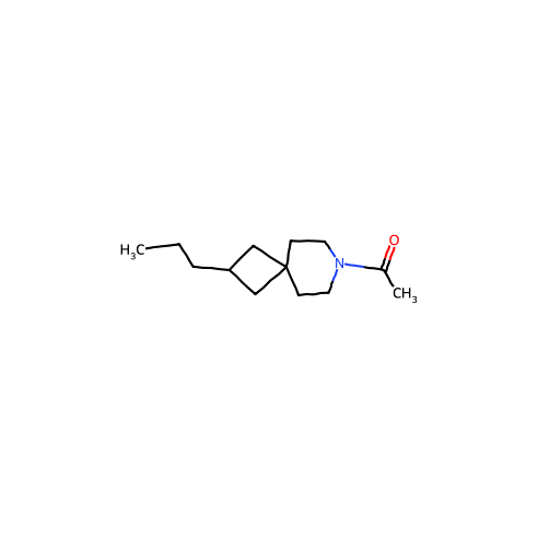 CCCC1CC2(CCN(C(C)=O)CC2)C1